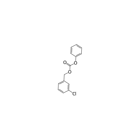 O=C(OCc1cccc(Cl)c1)Oc1ccccc1